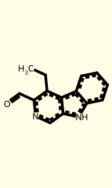 CCc1c(C=O)ncc2[nH]c3ccccc3c12